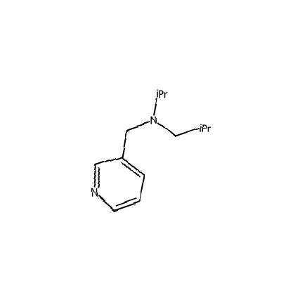 CC(C)CN(Cc1cccnc1)C(C)C